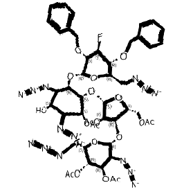 CC(=O)OC[C@H]1O[C@@H](O[C@H]2[C@H](O[C@H]3O[C@H](CN=[N+]=[N-])[C@@H](OCc4ccccc4)[C@H](F)[C@H]3OCc3ccccc3)C(N=[N+]=[N-])[C@H](O)C(N=[N+]=[N-])[C@@H]2OC(C)=O)[C@H](OC(C)=O)[C@@H]1O[C@H]1O[C@@H](CN=[N+]=[N-])[C@@H](OC(C)=O)[C@H](OC(C)=O)C1N=[N+]=[N-]